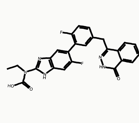 CCN(C(=O)O)c1nc2cc(-c3cc(Cc4n[nH]c(=O)c5ccccc45)ccc3F)c(F)cc2[nH]1